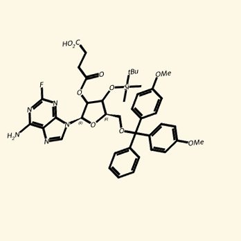 COc1ccc(C(OC[C@H]2O[C@@H](n3cnc4c(N)nc(F)nc43)C(OC(=O)CCC(=O)O)C2O[Si](C)(C)C(C)(C)C)(c2ccccc2)c2ccc(OC)cc2)cc1